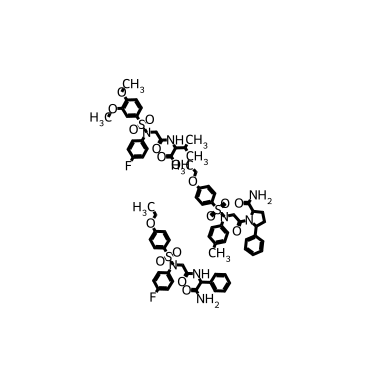 CCOc1ccc(S(=O)(=O)N(CC(=O)N2C(C(N)=O)CCC2c2ccccc2)c2ccc(C)cc2)cc1.CCOc1ccc(S(=O)(=O)N(CC(=O)NC(C(N)=O)c2ccccc2)c2ccc(F)cc2)cc1.COc1ccc(S(=O)(=O)N(CC(=O)NC(C(=O)O)C(C)C)c2ccc(F)cc2)cc1OC